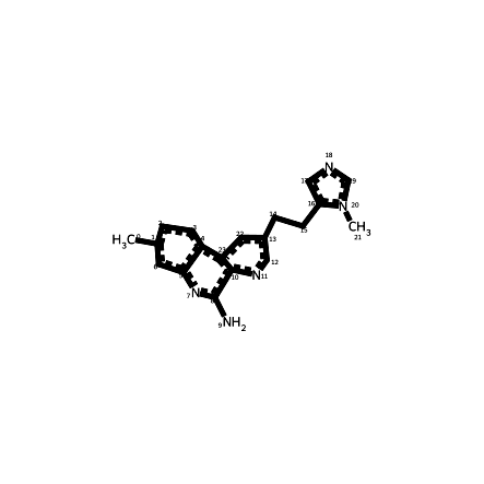 Cc1ccc2c(c1)nc(N)c1ncc(CCc3cncn3C)cc12